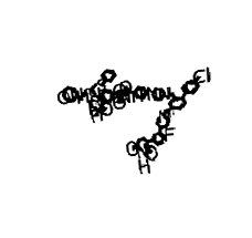 C[C@@]1(CN2CCC(c3cc(C4CCC(=O)NC4=O)ccc3F)CC2)CCC(c2ccc(Cl)cc2)=C(CN2CCN(c3ccc(C(=O)NS(=O)(=O)c4ccc(N[C@H](CCN5CCCOCC5)CSc5ccccc5)c(S(=O)(=O)C(F)(F)F)c4)cc3)CC2)C1